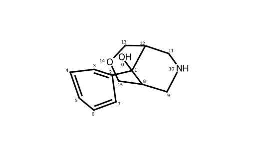 OC1(c2ccccc2)C2CNCC1COC2